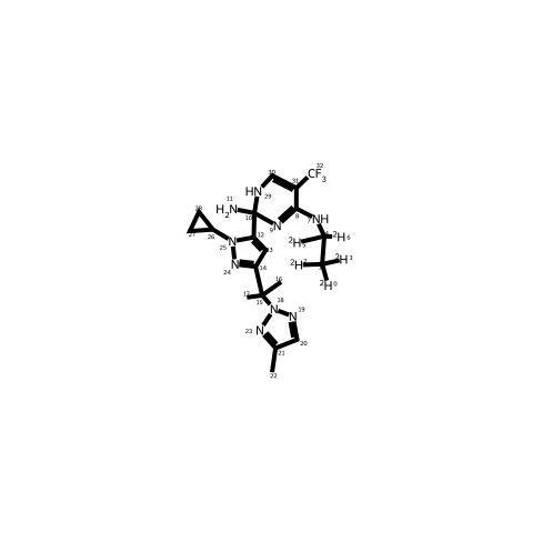 [2H]C([2H])([2H])C([2H])([2H])NC1=NC(N)(c2cc(C(C)(C)n3ncc(C)n3)nn2C2CC2)NC=C1C(F)(F)F